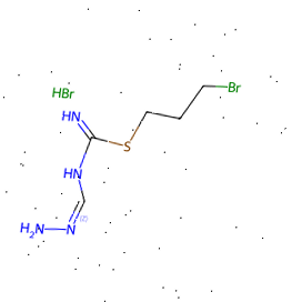 Br.N=C(N/C=N\N)SCCCBr